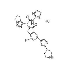 Cl.O=C(Nc1nccs1)C(c1ncn2c1CCC2)N1Cc2c(F)cc(-c3cnn(C4CCNCC4)c3)cc2C1=O